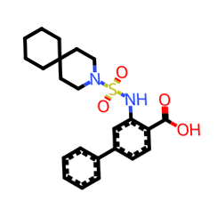 O=C(O)c1ccc(-c2ccccc2)cc1NS(=O)(=O)N1CCC2(CCCCC2)CC1